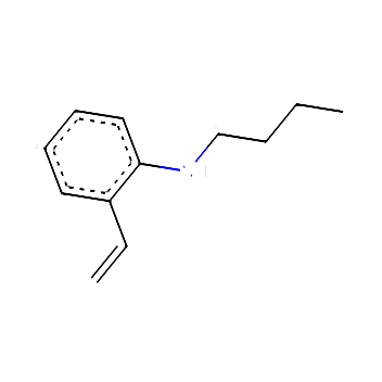 C=Cc1ccccc1NCCCC